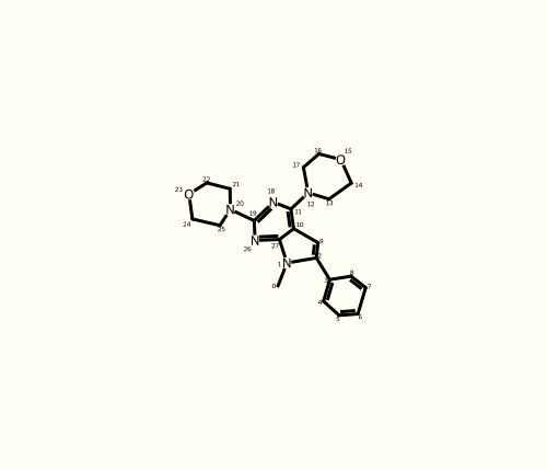 Cn1c(-c2ccccc2)cc2c(N3CCOCC3)nc(N3CCOCC3)nc21